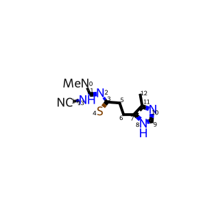 CNC(=NC(=S)CCc1[nH]cnc1C)NC#N